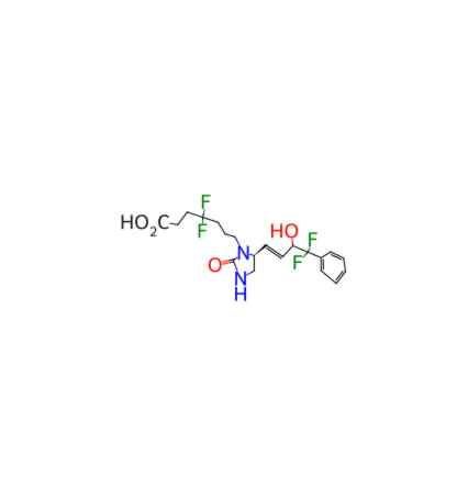 O=C(O)CCC(F)(F)CCCN1C(=O)NC[C@@H]1C=CC(O)C(F)(F)c1ccccc1